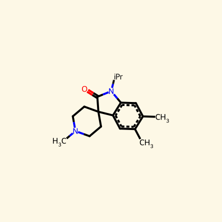 Cc1cc2c(cc1C)C1(CCN(C)CC1)C(=O)N2C(C)C